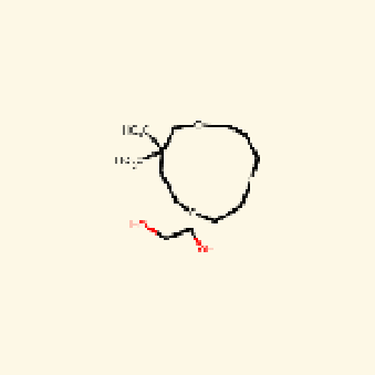 O=C(O)C1(C(=O)O)CCCCCCCCCCC1.OCCO